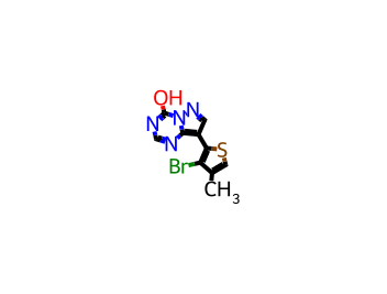 Cc1csc(-c2cnn3c(O)ncnc23)c1Br